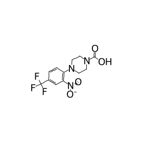 O=C(O)N1CCN(c2ccc(C(F)(F)F)cc2[N+](=O)[O-])CC1